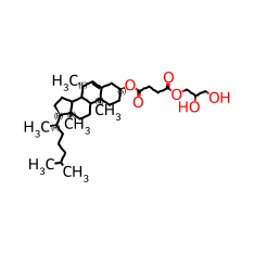 CC(C)CCC[C@@H](C)[C@H]1CCC2C3C(CC[C@@]21C)[C@@]1(C)CC[C@H](OC(=O)CCC(=O)OCC(O)CO)CC1=C[C@H]3C